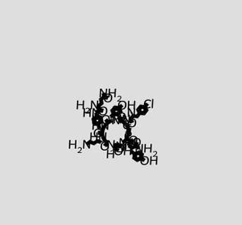 C[C@@H](O)[C@@H]1NC(=O)[C@H](CCCCN)NC(=O)[C@@H](Cc2ccc(NC(=O)[C@@H](N)CCC(N)=O)cc2)NC(O)[C@H](Cc2ccc(O)cc2)NC(=O)[C@H](NC(=O)[C@@H](N)Cc2ccc(Cl)cc2)CSSC[C@@H](C(=O)N[C@H](Cc2ccc(O)cc2)C(N)=O)NC1=O